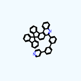 c1cc(-c2ccncc2)cc(-c2cccc(-c3nc4ccccc4c4c5c(ccc34)C3(c4ccccc4-c4ccccc43)c3ccccc3-5)c2)c1